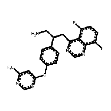 NCC(Cc1ncnc2c(F)ccc(F)c12)c1ccc(Oc2cc(C(F)(F)F)ncn2)cc1